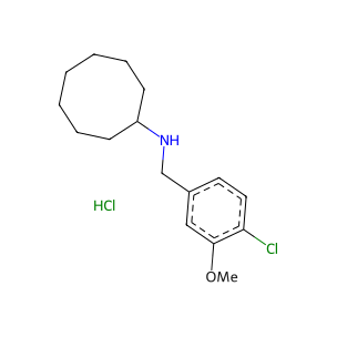 COc1cc(CNC2CCCCCCC2)ccc1Cl.Cl